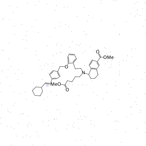 COC(=O)CCCCN(CCc1ccccc1OCc1ccc(/C=C/C2CCCCC2)cc1)C1CCCc2cc(C(=O)OC)ccc21